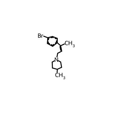 CC(=CCN1CCC(C)CC1)c1ccc(Br)cc1